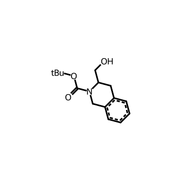 CC(C)(C)OC(=O)N1Cc2ccccc2CC1CO